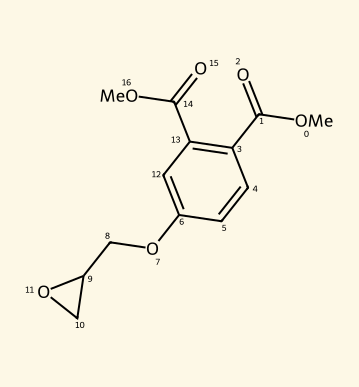 COC(=O)c1ccc(OCC2CO2)cc1C(=O)OC